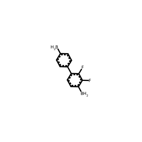 Bc1ccc(-c2ccc(B)c(F)c2F)cc1